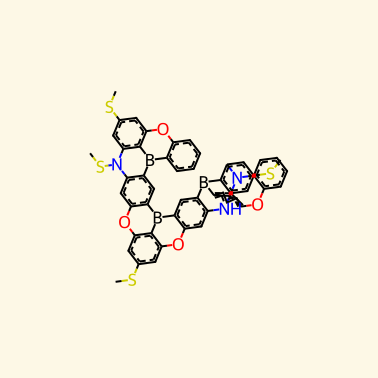 CSc1cc2c3c(c1)Oc1cc4c(cc1B3c1cc3c(cc1O2)Nc1cc(SC)cc2c1B3c1cccc3c1N2c1ccccc1O3)B1c2ccccc2Oc2cc(SC)cc(c21)N4SC